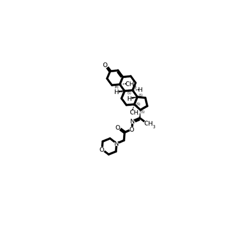 CC(=NOC(=O)CN1CCOCC1)[C@H]1CC[C@H]2[C@@H]3CCC4=CC(=O)CC[C@]4(C)[C@H]3CC[C@]12C